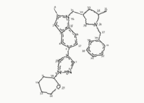 Cc1cc2cc(-c3cnn(C4CCCCO4)c3)ccc2n1CC1CC(C)N(Cc2ccccc2)C1